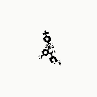 CC(C)(C)c1ccc(S(=O)(=O)Nc2ccc(Cl)cc2C(=O)c2ccnc(OI)c2)cc1